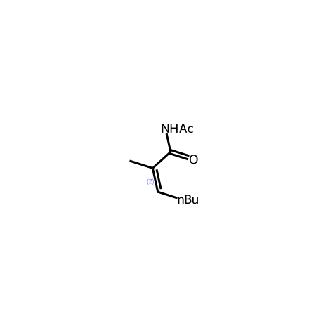 CCCC/C=C(/C)C(=O)NC(C)=O